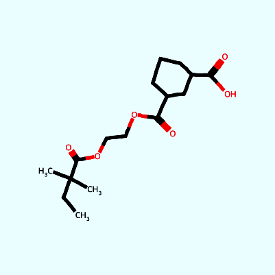 CCC(C)(C)C(=O)OCCOC(=O)C1CCCC(C(=O)O)C1